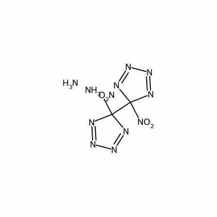 N.N.O=[N+]([O-])C1(C2([N+](=O)[O-])N=NN=N2)N=NN=N1